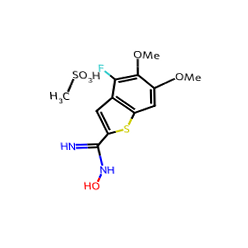 COc1cc2sc(C(=N)NO)cc2c(F)c1OC.CS(=O)(=O)O